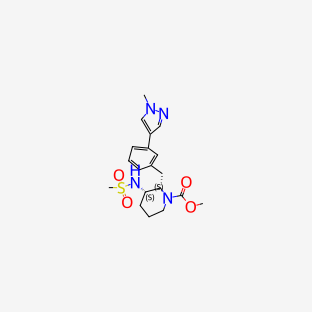 COC(=O)N1CCC[C@H](NS(C)(=O)=O)[C@@H]1Cc1cccc(-c2cnn(C)c2)c1